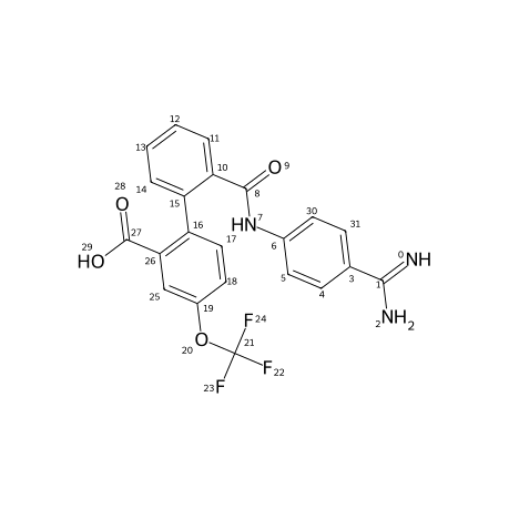 N=C(N)c1ccc(NC(=O)c2ccccc2-c2ccc(OC(F)(F)F)cc2C(=O)O)cc1